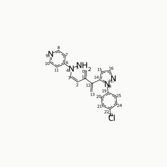 C=C(/C=C\N(N)c1ccncc1)C(=C)c1ccnn1-c1ccc(Cl)cc1